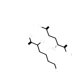 NC(=O)CC[C@H](N)C(=O)O.NCCCCC(N)C(=O)O